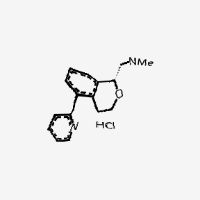 CNC[C@@H]1OCCc2c(-c3ccccn3)cccc21.Cl